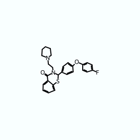 O=C1c2ccccc2SC(c2ccc(Oc3ccc(F)cc3)cc2)N1CCN1CCCCC1